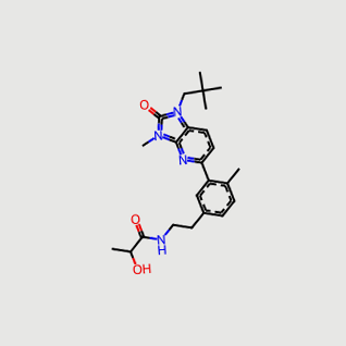 Cc1ccc(CCNC(=O)C(C)O)cc1-c1ccc2c(n1)n(C)c(=O)n2CC(C)(C)C